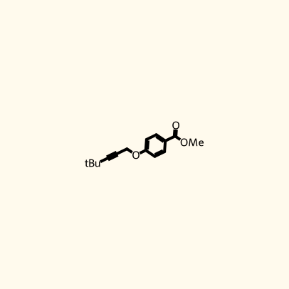 COC(=O)c1ccc(OCC#CC(C)(C)C)cc1